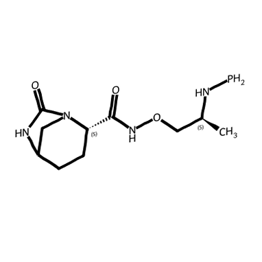 C[C@@H](CONC(=O)[C@@H]1CCC2CN1C(=O)N2)NP